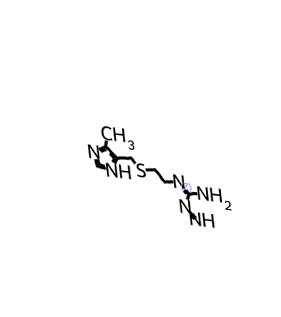 Cc1nc[nH]c1CSCC/N=C(/N)N=N